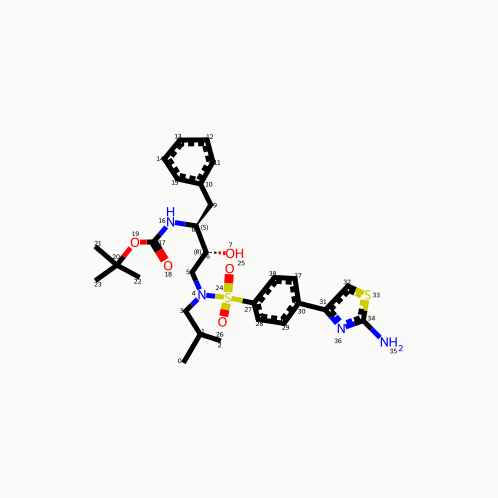 CC(C)CN(C[C@@H](O)[C@H](Cc1ccccc1)NC(=O)OC(C)(C)C)S(=O)(=O)c1ccc(-c2csc(N)n2)cc1